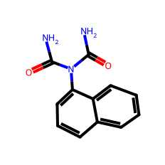 NC(=O)N(C(N)=O)c1cccc2ccccc12